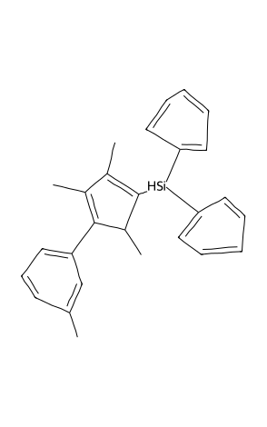 CC1=C(c2cccc(C)c2)C(C)C([SiH](c2ccccc2)c2ccccc2)=C1C